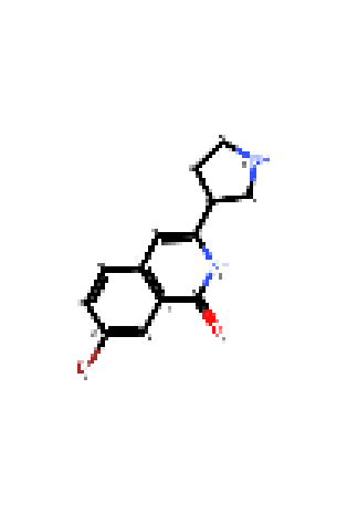 O=c1[nH]c(C2CCNC2)cc2ccc(Br)cc12